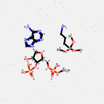 CCO[Si](CCCN)(OCC)OCC.Nc1ncnc2c1ncn2[C@@H]1O[C@H](COP(=O)(O)OS(=O)(=O)O)[C@@H](OP(=O)(O)O)[C@H]1O